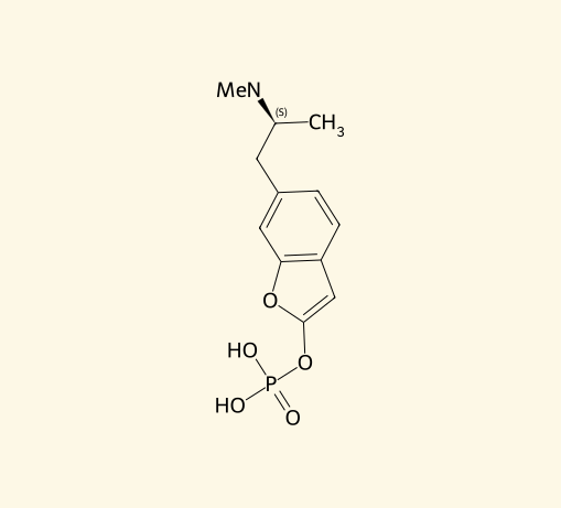 CN[C@@H](C)Cc1ccc2cc(OP(=O)(O)O)oc2c1